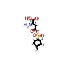 Cc1ccc(S(=O)(=O)OC(=O)C[C@H](N)C(=O)O)cc1